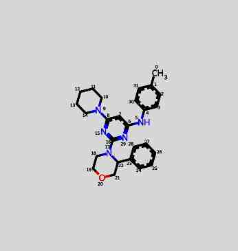 Cc1ccc(Nc2cc(N3CCCCC3)nc(N3CCOCC3c3ccccc3)n2)cc1